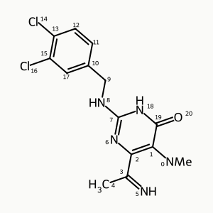 CNc1c(C(C)=N)nc(NCc2ccc(Cl)c(Cl)c2)[nH]c1=O